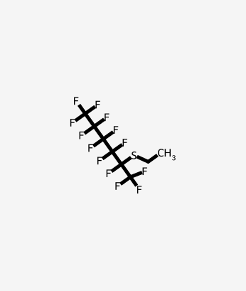 CCSC(F)(C(F)(F)F)C(F)(F)C(F)(F)C(F)(F)C(F)(F)F